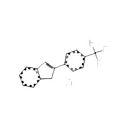 FC(F)(F)c1ccc(C2=Cc3ccccc3[CH]2)cc1.[Zr]